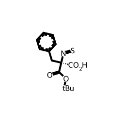 CC(C)(C)OC(=O)[C@@](Cc1ccccc1)(N=S)C(=O)O